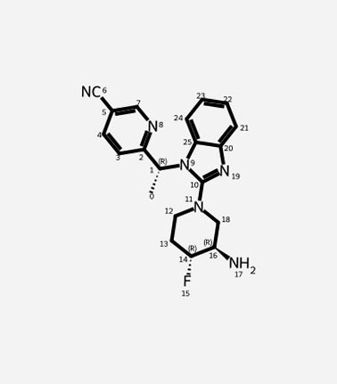 C[C@H](c1ccc(C#N)cn1)n1c(N2CC[C@@H](F)[C@H](N)C2)nc2ccccc21